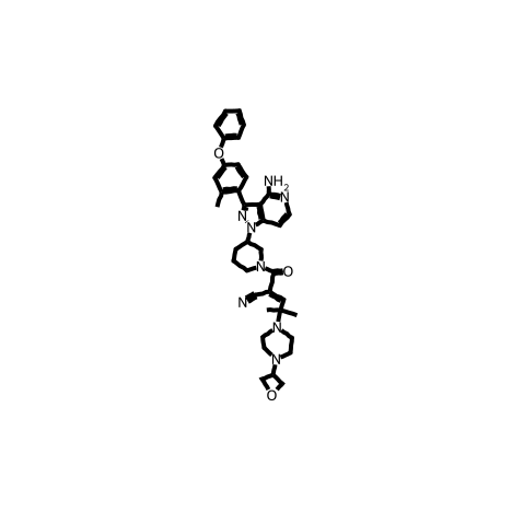 Cc1cc(Oc2ccccc2)ccc1-c1nn(C2CCCN(C(=O)C(C#N)=CC(C)(C)N3CCN(C4COC4)CC3)C2)c2ccnc(N)c12